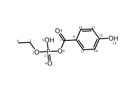 CCOP(=O)(O)OC(=O)c1ccc(O)cc1